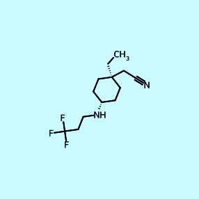 CC[C@]1(CC#N)CC[C@H](NCCC(F)(F)F)CC1